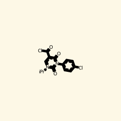 CC(C)n1cc(C(=O)Cl)c(=O)n(-c2ccc(Cl)cc2)c1=O